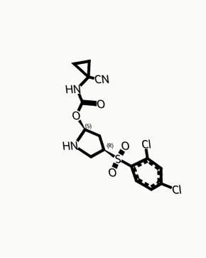 N#CC1(NC(=O)O[C@H]2C[C@@H](S(=O)(=O)c3ccc(Cl)cc3Cl)CN2)CC1